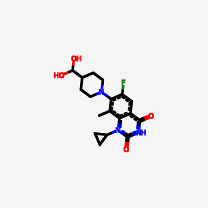 Cc1c(N2CCC(C(O)O)CC2)c(F)cc2c(=O)[nH]c(=O)n(C3CC3)c12